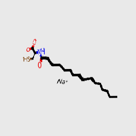 CCCCCCCCCCCCCCCC(=O)N[C@@H](CS)C(=O)[O-].[Na+]